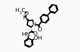 CON=C1C[C@@H](C(=O)Nc2ccccc2O)N(C(=O)c2ccc(-c3ccccc3)cc2)C1